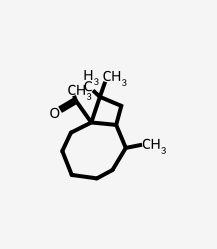 CC(=O)C12CCCCCC(C)C1CC2(C)C